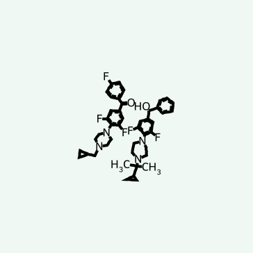 CC(C)(C1CC1)N1CCN(c2c(F)cc(C(O)c3ccccc3)cc2F)CC1.O=C(c1ccc(F)cc1)c1cc(F)c(N2CCN(CC3CC3)CC2)c(F)c1